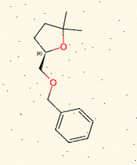 CC1(C)CC[C@H](COCc2ccccc2)O1